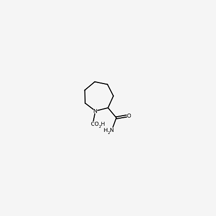 NC(=O)C1CCCCCN1C(=O)O